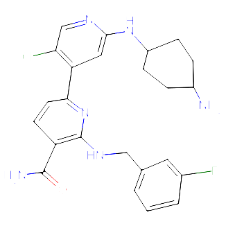 NC(=O)c1ccc(-c2cc(NC3CCC(N)CC3)ncc2Cl)nc1NCc1cccc(F)c1